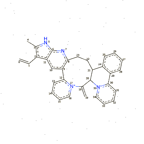 C=Cc1c(C)[nH]c2nc3c(cc12)-c1cccc[n+]1C(=C)C1C(CC3)c2ccccc2-c2cccc[n+]21